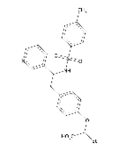 CCC(Oc1ccc(CC(NS(=O)(=O)c2ccc(C)cc2)c2cccnc2)cc1)C(=O)O